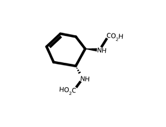 O=C(O)N[C@@H]1CC=CC[C@H]1NC(=O)O